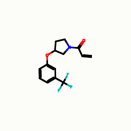 C=CC(=O)N1CCC(Oc2cccc(C(F)(F)F)c2)C1